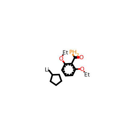 CCOc1cccc(OCC)c1C(=O)P.[Li][CH]1CCCC1